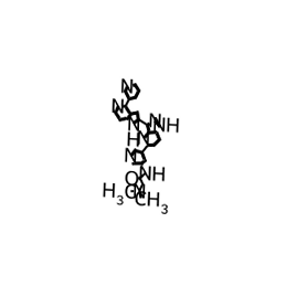 CN(C)CC(=O)Nc1cncc(-c2ccc3[nH]nc(-c4cc5c(-c6cccnc6)nccc5[nH]4)c3n2)c1